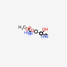 CCOC(=O)c1[nH]nnc1O[C@H]1CC[C@H](c2ccc(-c3ccn[nH]3)c(CO)c2)CC1